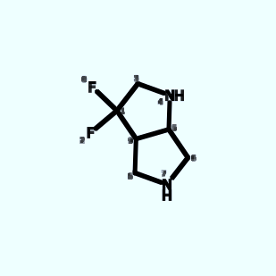 FC1(F)CNC2CNCC21